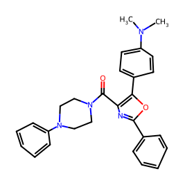 CN(C)c1ccc(-c2oc(-c3ccccc3)nc2C(=O)N2CCN(c3ccccc3)CC2)cc1